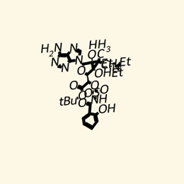 CC(C)(C)OC(=O)C(OS(=O)(=O)NC(=O)c1ccccc1O)[C@H]1O[C@@H](n2cnc3c(N)ncnc32)[C@@]2(O)C(C)(C)[C@@]12O.CCN(CC)CC